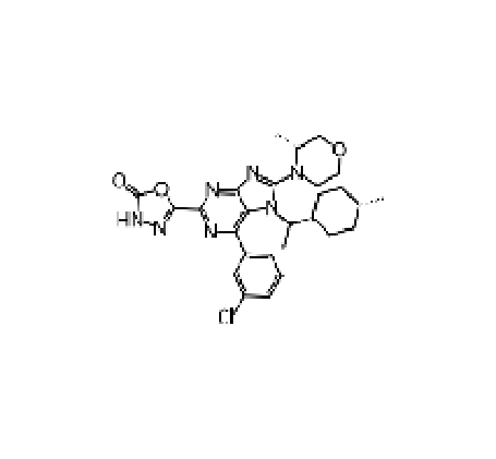 CC([C@H]1CC[C@H](C)CC1)n1c(N2CCOC[C@H]2C)nc2nc(-c3n[nH]c(=O)o3)nc(-c3cccc(Cl)c3)c21